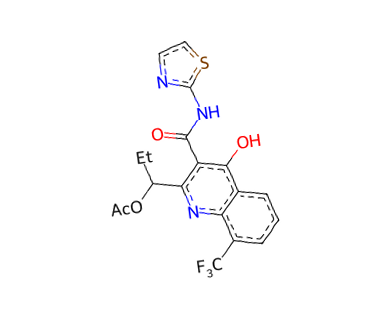 CCC(OC(C)=O)c1nc2c(C(F)(F)F)cccc2c(O)c1C(=O)Nc1nccs1